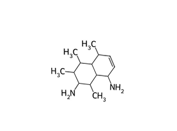 CC1C=CC(N)C2C(C)C(N)C(C)C(C)C12